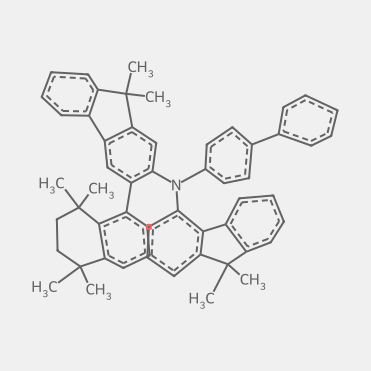 CC1(C)CCC(C)(C)c2c(-c3cc4c(cc3N(c3ccc(-c5ccccc5)cc3)c3cccc5c3-c3ccccc3C5(C)C)C(C)(C)c3ccccc3-4)cccc21